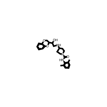 Cc1cccc(C)c1NC(=O)N1CCC(NCC(O)C2COc3ccccc3O2)CC1